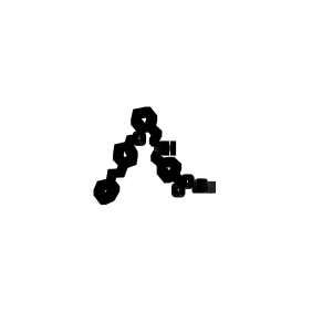 CC(C)(C)OC(=O)c1ccc(CNCCc2ccccc2OCc2ccc(CCc3ccccc3)cc2)cc1